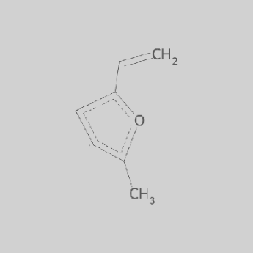 C=Cc1c[c]c(C)o1